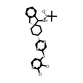 CC(C)(C)[S@@+]([O-])NC1c2ccccc2C[C@]12CC[C@@H](c1cnc(Sc3ccnc(Cl)c3Cl)cn1)CC2